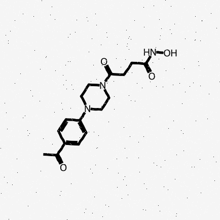 CC(=O)c1ccc(N2CCN(C(=O)CCC(=O)NO)CC2)cc1